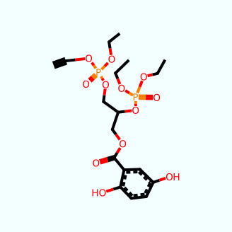 C#COP(=O)(OCC)OCC(COC(=O)c1cc(O)ccc1O)OP(=O)(OCC)OCC